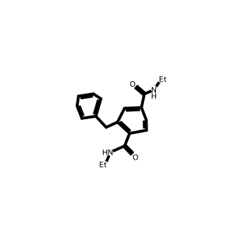 CCNC(=O)c1ccc(C(=O)NCC)c(Cc2ccccc2)c1